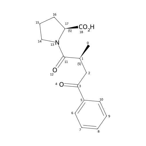 C[C@@H](CC(=O)c1ccccc1)C(=O)N1CCC[C@H]1C(=O)O